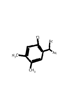 CC(=O)C(C(C)=O)c1cc(C)c(C)cc1Cl